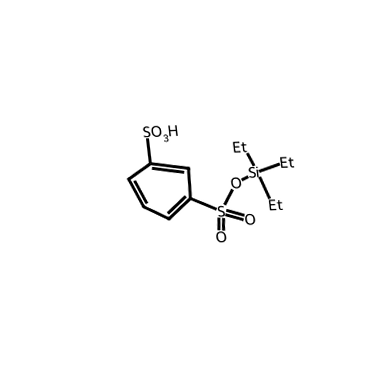 CC[Si](CC)(CC)OS(=O)(=O)c1cccc(S(=O)(=O)O)c1